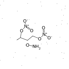 CC(CCO[N+](=O)[O-])O[N+](=O)[O-].N[O]